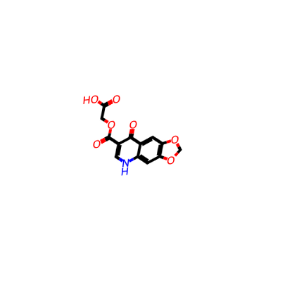 O=C(O)COC(=O)c1c[nH]c2cc3c(cc2c1=O)OCO3